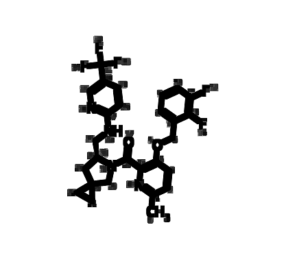 Cc1ccc(OCc2cccc(F)c2F)c(C(=O)N2CC3(CC3)C[C@H]2CNc2ccc(C(F)(F)F)cn2)n1